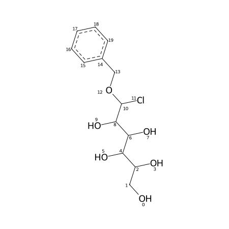 OCC(O)C(O)C(O)C(O)C(Cl)OCc1ccccc1